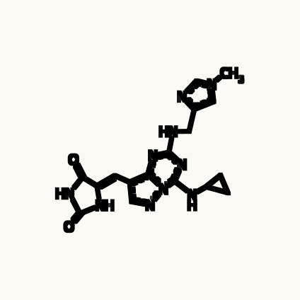 Cn1cnc(CNc2nc(NC3CC3)n3ncc(/C=C4\NC(=O)NC4=O)c3n2)c1